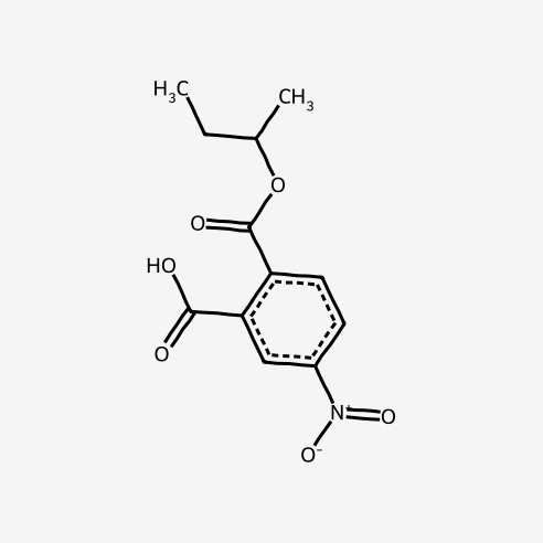 CCC(C)OC(=O)c1ccc([N+](=O)[O-])cc1C(=O)O